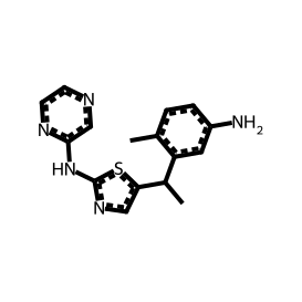 Cc1ccc(N)cc1C(C)c1cnc(Nc2cnccn2)s1